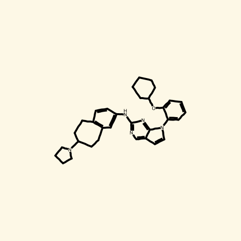 c1ccc(-n2ccc3cnc(Nc4ccc5c(c4)CCC(N4CCCC4)CC5)nc32)c(OC2CCCCC2)c1